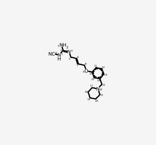 N#CNC(N)=NCC=CCOc1cccc(CN2CCCCC2)c1